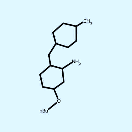 CCCCOC1CCC(CC2CCC(C)CC2)C(N)C1